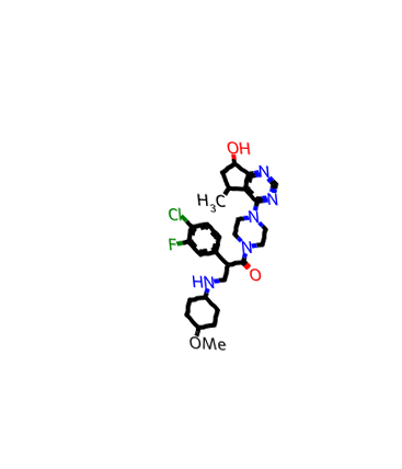 COC1CCC(NCC(C(=O)N2CCN(c3ncnc4c3C(C)CC4O)CC2)c2ccc(Cl)c(F)c2)CC1